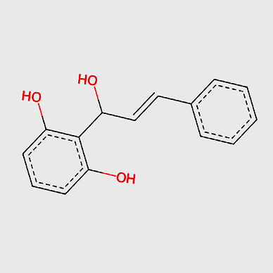 Oc1cccc(O)c1C(O)/C=C/c1ccccc1